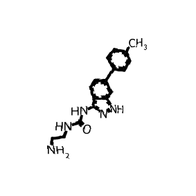 Cc1ccc(-c2ccc3c(NC(=O)NCCN)n[nH]c3c2)cc1